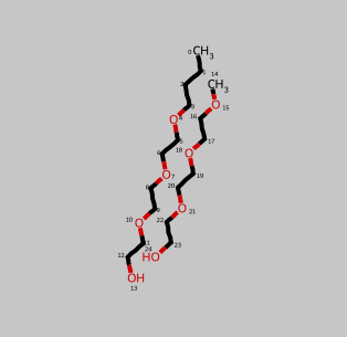 CCCCOCCOCCOCCO.COCCOCCOCCO